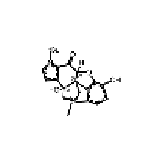 CN1CC[C@]23c4c5ccc(O)c4O[C@H]2C(=O)c2c(ccn2C(C)(C)C)[C@@]3(O)C1C5